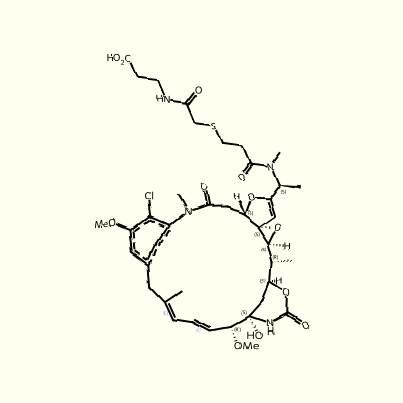 COc1cc2cc(c1Cl)N(C)C(=O)C[C@@H]1OC([C@H](C)N(C)C(=O)CCSCC(=O)NCCC(=O)O)=C[C@]13O[C@H]3[C@H](C)[C@@H]1C[C@@](O)(NC(=O)O1)[C@H](OC)/C=C/C=C(\C)C2